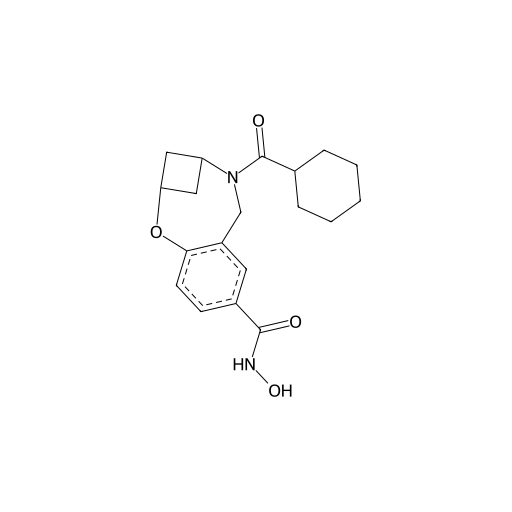 O=C(NO)c1ccc2c(c1)CN(C(=O)C1CCCCC1)C1CC(C1)O2